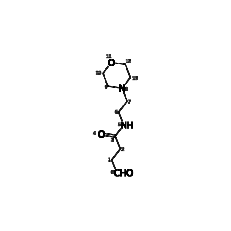 O=CCCC(=O)NCCN1CCOCC1